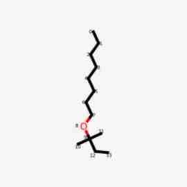 CCCCCCCCOC(C)(C)CC